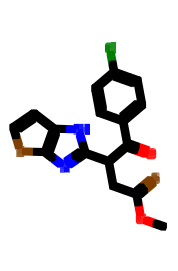 COC(=S)CC(C(=O)c1ccc(Cl)cc1)c1nc2sccc2[nH]1